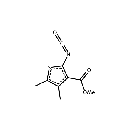 COC(=O)c1c(N=C=O)sc(C)c1C